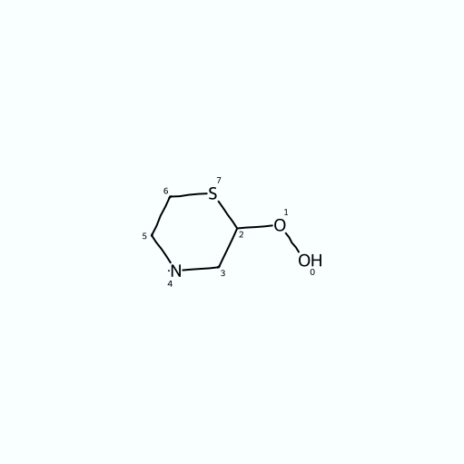 OOC1C[N]CCS1